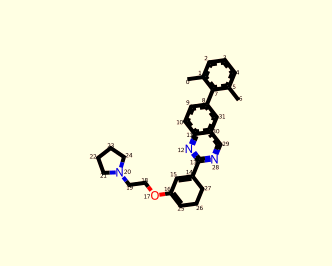 Cc1cccc(C)c1-c1ccc2nc(C3=CC(OCCN4CCCC4)=CC[CH]3)ncc2c1